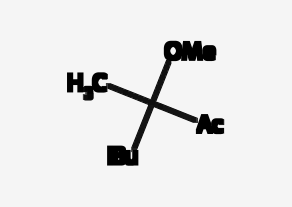 CCC(C)C(C)(OC)C(C)=O